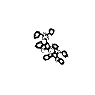 N#Cc1cc(-c2nc(-c3ccccc3)nc(-c3ccccc3)n2)c2c(oc3ccccc32)c1-n1c2ccccc2c2c3sc4ccccc4c3c3c(c4ccccc4n3-c3ccccc3)c21